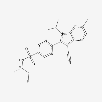 Cc1ccc2c(C#N)c(-c3ncc(S(=O)(=O)N[C@@H](C)CF)cn3)n(C(C)C)c2c1